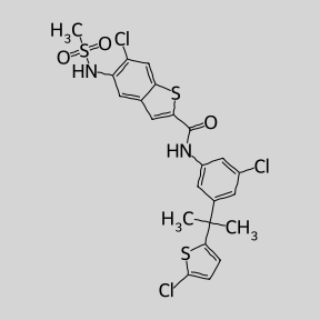 CC(C)(c1cc(Cl)cc(NC(=O)c2cc3cc(NS(C)(=O)=O)c(Cl)cc3s2)c1)c1ccc(Cl)s1